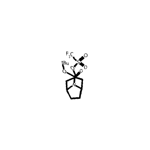 CC(C)(C)OC(=O)N1C2CCC1CC(OS(=O)(=O)C(F)(F)F)C2